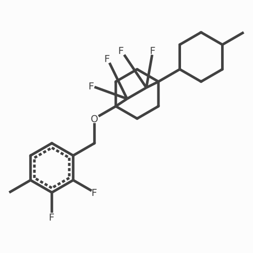 Cc1ccc(COC23CCC(C4CCC(C)CC4)(CC2)C(F)(F)C3(F)F)c(F)c1F